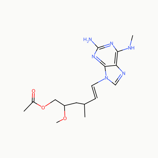 CNc1nc(N)nc2c1ncn2C=CC(C)CC(COC(C)=O)OC